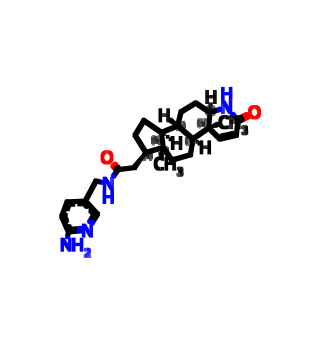 C[C@]12C=CC(=O)N[C@@H]1CC[C@@H]1[C@@H]2CC[C@]2(C)[C@@H](CC(=O)NCc3ccc(N)nc3)CC[C@@H]12